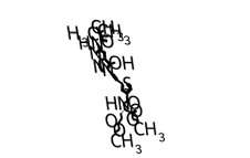 CCOC(=O)CC[C@H](NC(=O)c1csc(C#Cn2cnc3nc(NC(=O)C(C)(C)C)cc-3c2O)c1)C(=O)OCC